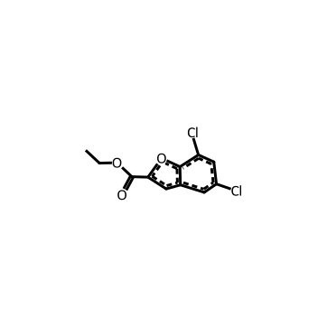 CCOC(=O)c1cc2cc(Cl)cc(Cl)c2o1